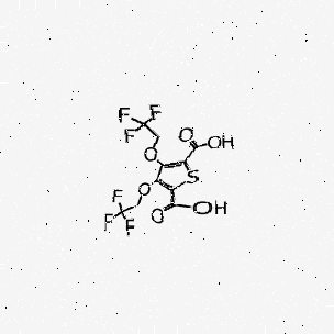 O=C(O)c1sc(C(=O)O)c(OCC(F)(F)F)c1OCC(F)(F)F